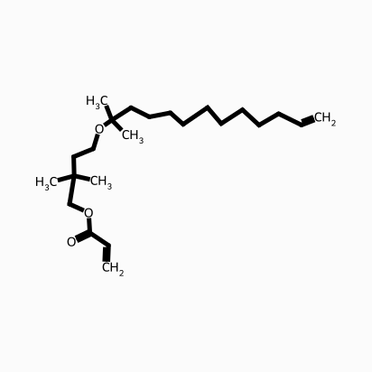 C=CCCCCCCCCCC(C)(C)OCCC(C)(C)COC(=O)C=C